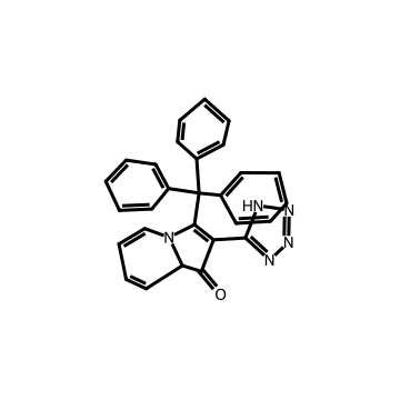 O=C1C(c2nnn[nH]2)=C(C(c2ccccc2)(c2ccccc2)c2ccccc2)N2C=CC=CC12